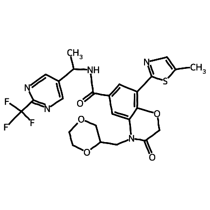 Cc1cnc(-c2cc(C(=O)NC(C)c3cnc(C(F)(F)F)nc3)cc3c2OCC(=O)N3CC2COCCO2)s1